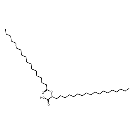 CCCCCCCCCCCCCCCCCCC(OC(=O)CCCCCCCCCCCCCCCCC)C(=O)O